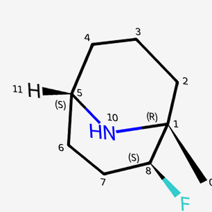 C[C@@]12CCC[C@@H](CC[C@@H]1F)N2